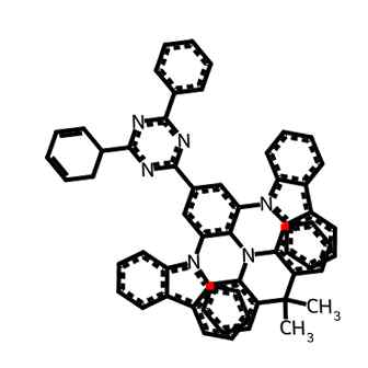 CC1(C)c2ccccc2N(c2c(-n3c4ccccc4c4ccccc43)cc(-c3nc(-c4ccccc4)nc(C4C=CC=CC4)n3)cc2-n2c3ccccc3c3ccccc32)c2ccccc21